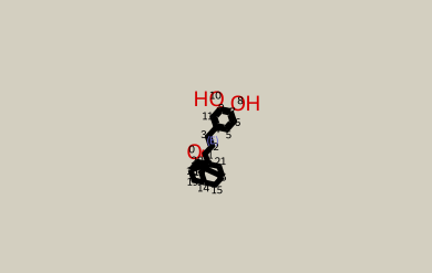 O=C(/C=C/c1ccc(O)c(O)c1)C12CC3CC(CC(C3)C1)C2